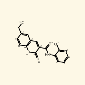 O=C(Nc1cccnc1Cl)c1cc2cc(CCl)ccc2oc1=O